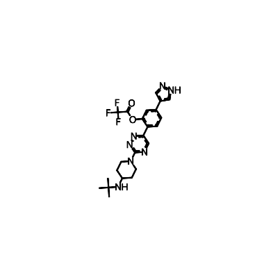 CC(C)(C)NC1CCN(c2ncc(-c3ccc(-c4cn[nH]c4)cc3OC(=O)C(F)(F)F)nn2)CC1